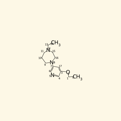 CCOc1cncc(N2CCCN(CC)CC2)c1